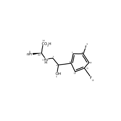 CCC[C@H]([AsH]CC(O)c1cc(F)cc(F)c1)C(=O)O